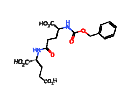 O=C(O)CC[C@@H](NC(=O)CC[C@H](NC(=O)OCc1ccccc1)C(=O)O)C(=O)O